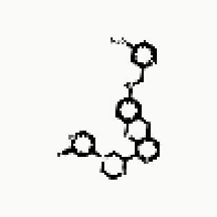 COc1ccnc(CNc2ccc3c(c2)Cc2ccnc(C4CN(c5cc[nH]c(=O)c5)CCO4)c2O3)c1